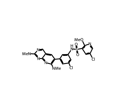 CNc1ncc2cc(-c3cc(Cl)cc(NS(=O)(=O)c4cc(Cl)cnc4OC)c3)c(NC)nc2n1